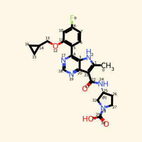 Cc1[nH]c2c(-c3ccc(F)cc3OCC3CC3)ncnc2c1C(=O)N[C@@H]1CCN(C(=O)O)C1